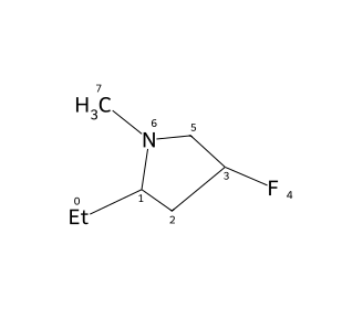 CCC1CC(F)CN1C